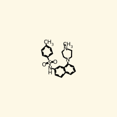 Cc1ccc(S(=O)(=O)Nc2ccc3cccc(N4CCN(C)CC4)c3c2)cc1